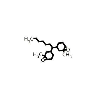 CCCCCCC(C1CCC2OC2(C)C1)C1CCC2OC2(C)C1